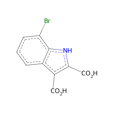 O=C(O)c1[nH]c2c(Br)cccc2c1C(=O)O